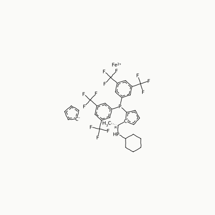 C[C@@H](PC1CCCCC1)[c-]1cccc1P(c1cc(C(F)(F)F)cc(C(F)(F)F)c1)c1cc(C(F)(F)F)cc(C(F)(F)F)c1.[Fe+2].c1cc[cH-]c1